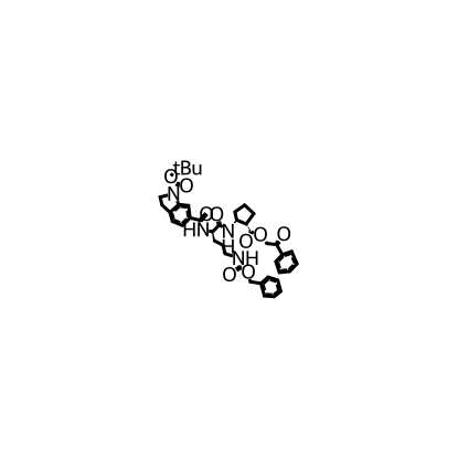 CC(C)(C)OC(=O)N1CCc2ccc(C(=O)N[C@H](CCCNC(=O)OCc3ccccc3)C(=O)N[C@@H]3CCC[C@@H]3C(=O)OCC(=O)c3ccccc3)cc21